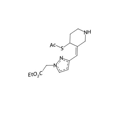 CCOC(=O)Cn1ccc(C=C2CNCCC2SC(C)=O)n1